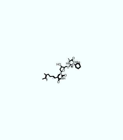 COC(=O)[C@H](C)NP(=O)(OCC1OC(n2cc(/C=C/CCC(C)=C(C)F)c(=O)[nH]c2=O)CC1O)Oc1ccccc1